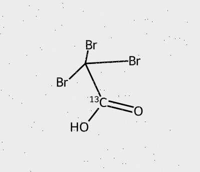 O=[13C](O)C(Br)(Br)Br